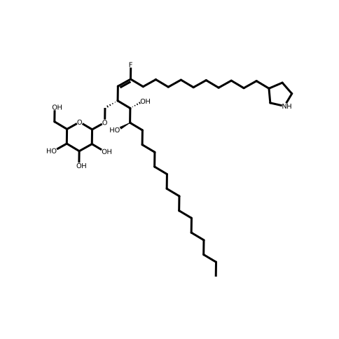 CCCCCCCCCCCCCC[C@@H](O)[C@@H](O)[C@@H](/C=C(/F)CCCCCCCCCCC1CCNC1)COC1OC(CO)C(O)C(O)C1O